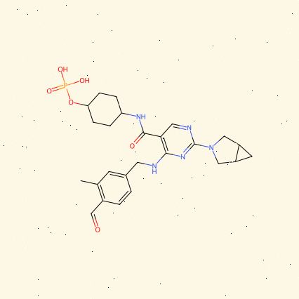 Cc1cc(CNc2nc(N3CC4CC4C3)ncc2C(=O)NC2CCC(OP(=O)(O)O)CC2)ccc1C=O